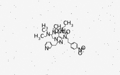 CCCn1c(=O)c2c(nc(Cc3cccnc3)n2CC(N(CC)CC)N(CC)CC)n(CCc2ccc([N+](=O)[O-])cc2)c1=O